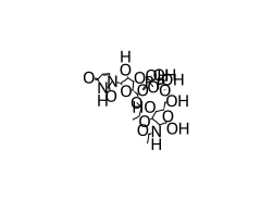 CC(=O)N[C@@H]1[C@@H](OC(C)COC[C@H]2O[C@@H](n3ccc(=O)[nH]c3=O)[C@H](O)[C@@H]2OP(=O)(O)OP(=O)(O)O)[C@H](O)[C@@H](CO)O[C@@H]1O